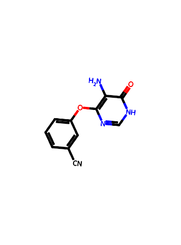 N#Cc1cccc(Oc2nc[nH]c(=O)c2N)c1